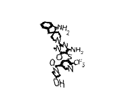 Cn1c(N2CCC3(CC2)Cc2ccccc2[C@H]3N)nc(N)c(Sc2cc(C(=O)N3CC(O)C3)cnc2C(F)(F)F)c1=O